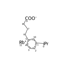 CC(C)c1cccc(CCCC(=O)[O-])c1.[Rb+]